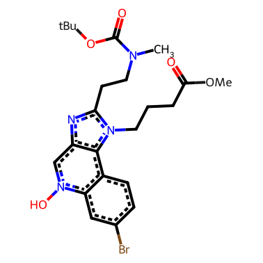 COC(=O)CCCn1c(CCN(C)C(=O)OC(C)(C)C)nc2c[n+](O)c3cc(Br)ccc3c21